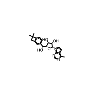 Cc1ncnc2c1ccn2[C@@H]1O[C@H]([C@H](O)c2ccc3c(c2)CC3(C)C)[C@@H](O)[C@H]1O